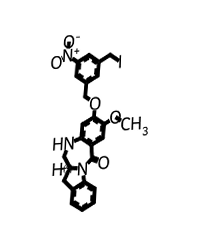 COc1cc2c(cc1OCc1cc(CI)cc([N+](=O)[O-])c1)NC[C@@H]1Cc3ccccc3N1C2=O